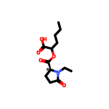 CCCCC(OC(=O)[C@@H]1CCC(=O)N1CC)C(=O)O